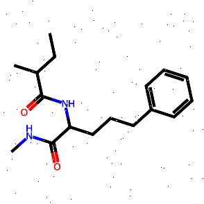 CCC(C)C(=O)NC(CCCc1ccccc1)C(=O)NC